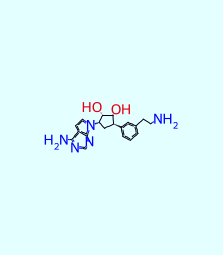 NCCc1cccc([C@H]2C[C@@H](n3ccc4c(N)ncnc43)[C@H](O)[C@@H]2O)c1